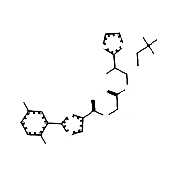 C[C@H](NC(=O)c1cnc(-c2cc(F)ccc2Cl)o1)C(=O)N[C@@H](CCC(F)(F)F)C(O)c1nccs1